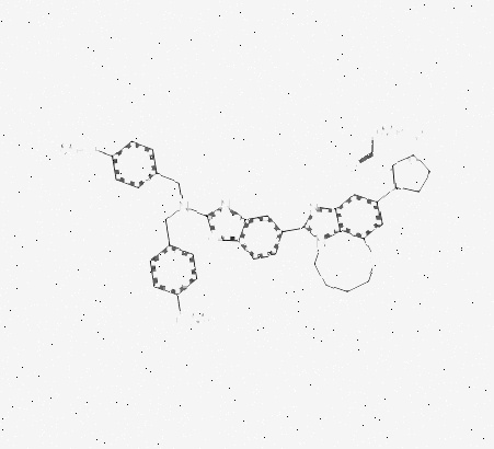 COC(=O)[C@H]1C(c2cc3c4c(c2)nc(-c2ccc5oc(N(Cc6ccc(OC)cc6)Cc6ccc(OC)cc6)nc5c2)n4CCCCO3)CC[C@H]1O